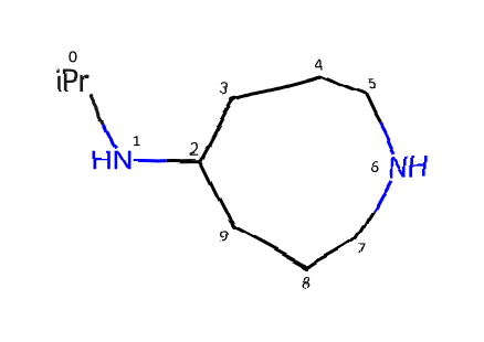 CC(C)NC1CCCNCCC1